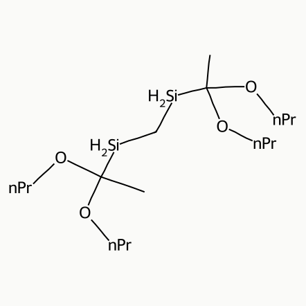 CCCOC(C)(OCCC)[SiH2]C[SiH2]C(C)(OCCC)OCCC